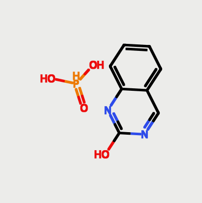 O=[PH](O)O.Oc1ncc2ccccc2n1